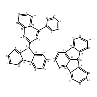 c1ccc(-c2nc(-n3c4ccccc4c4ccc(-c5cc6c7ccccc7n7c8ccccc8c(c5)c67)cc43)nc3ccccc23)cc1